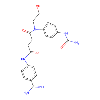 N=C(N)c1ccc(NC(=O)CCC(=O)N(CCO)c2ccc(NC(N)=O)cc2)cc1